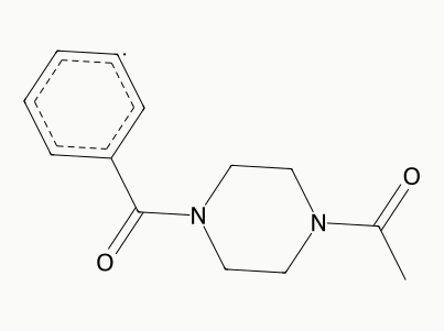 CC(=O)N1CCN(C(=O)c2c[c]ccc2)CC1